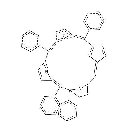 C1=CC2=NC1=CC1=CCC(c3ccccc3)(N1)C(c1ccccc1)=C1C=CC(=N1)C(c1ccccc1)=c1ccc([nH]1)=C2c1ccccc1